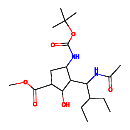 CCC(CC)C(NC(C)=O)C1C(NC(=O)OC(C)(C)C)CC(C(=O)OC)C1O